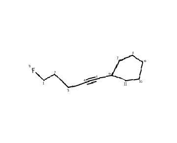 FCCCC#CC1CC[CH]CC1